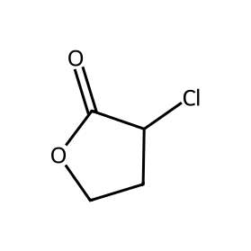 O=C1OCCC1Cl